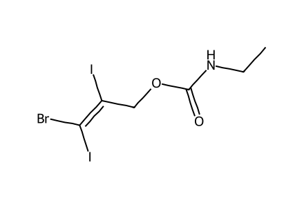 CCNC(=O)OCC(I)=C(Br)I